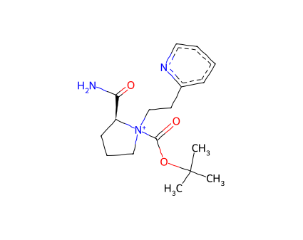 CC(C)(C)OC(=O)[N+]1(CCc2ccccn2)CCC[C@H]1C(N)=O